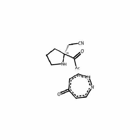 CC(=O)C(=O)[C@]1(CC#N)CCCN1.O=c1ccnncc1